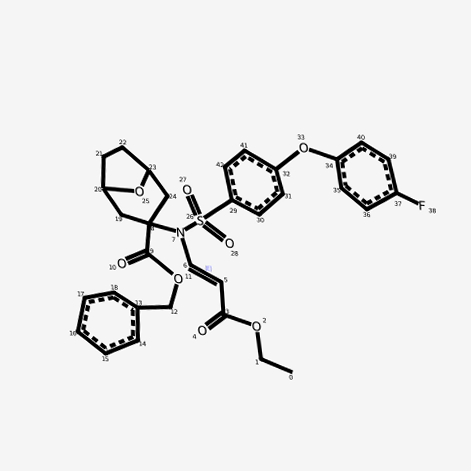 CCOC(=O)/C=C/N(C1(C(=O)OCc2ccccc2)CC2CCC(C1)O2)S(=O)(=O)c1ccc(Oc2ccc(F)cc2)cc1